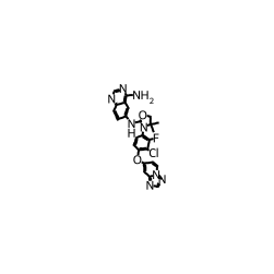 CC1(C)COC(Nc2ccc3ncnc(N)c3c2)N1c1ccc(Oc2ccn3ncnc3c2)c(Cl)c1F